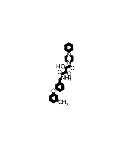 Cc1cccc(Oc2cccc(CNC(=O)[C@H](O)[C@@H](O)C(=O)N3CCN(c4ccccc4)CC3)c2)c1